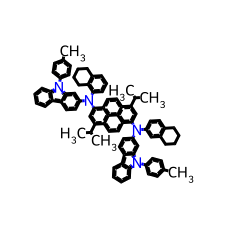 Cc1ccc(-n2c3ccccc3c3ccc(N(c4ccc5c(c4)CCCC5)c4cc(C(C)C)c5ccc6c(N(c7ccc8c9ccccc9n(-c9ccc(C)cc9)c8c7)c7cccc8c7CCCC8)cc(C(C)C)c7ccc4c5c76)cc32)cc1